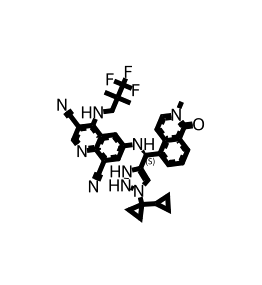 Cn1ccc2c([C@H](Nc3cc(C#N)c4ncc(C#N)c(NCC(C)(C)C(F)(F)F)c4c3)C3=CN(C4(C5CC5)CC4)NN3)cccc2c1=O